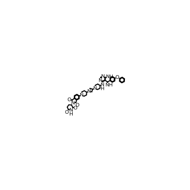 N=C(c1ccc(Oc2ccccc2)cc1)c1c(N)ncnc1NC1CCN(C2CN(C3CCN(c4ccc5c(c4)C(=O)N(C4CCC(=O)NC4=O)C5=O)CC3)C2)CC1